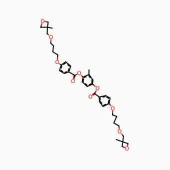 Cc1cc(OC(=O)c2ccc(OCCCCOCC3(C)COC3)cc2)ccc1OC(=O)c1ccc(OCCCCOCC2(C)COC2)cc1